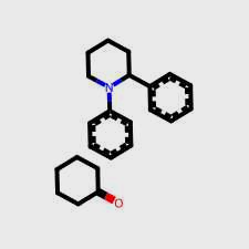 O=C1CCCCC1.c1ccc(C2CCCCN2c2ccccc2)cc1